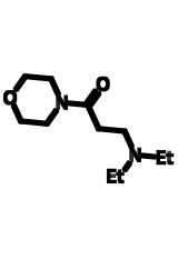 CCN(CC)CCC(=O)N1CCOCC1